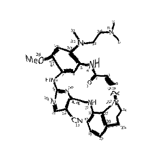 C=CC(=O)Nc1cc(Nc2ncc(C#N)c(Nc3cccc4c3N(C(C)=O)CC4)n2)c(OC)cc1N(C)CCN(C)C